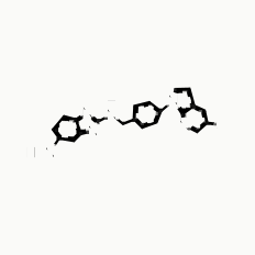 Nc1ccc2nc(NCc3ccc(-n4ccc5cc(Cl)cnc54)cc3)[nH]c2c1